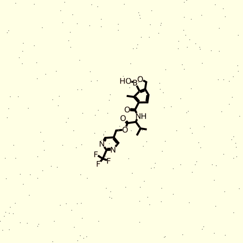 Cc1c(C(=O)NC(C(=O)OCc2cnc(C(F)(F)F)nc2)C(C)C)ccc2c1B(O)OC2